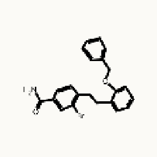 NC(=O)c1ccc(CCc2ccccc2OCc2ccccc2)c(Br)c1